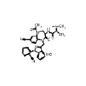 CNC(C)C(=O)NC1CN(C(C)=O)c2cc(C#N)ccc2N(Cc2nn(-c3ccccc3C#N)c3ccccc23)C1=O.Cl